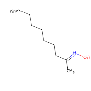 CCCCCCCCCCCCC(C)=NO